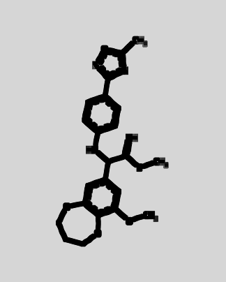 COc1cc(C(Nc2ccc(-c3noc(C)n3)cc2)C(=N)SC)cc2c1OCCCO2